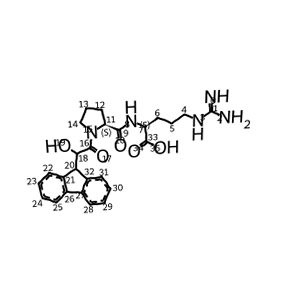 N=C(N)NCCC[C@H](NC(=O)[C@@H]1CCCN1C(=O)C(O)C1c2ccccc2-c2ccccc21)C(=O)O